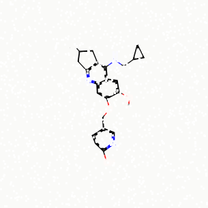 COc1cc2c(NCC3CC3)c3c(nc2cc1OCc1ccc(O)nc1)CC(C)C3